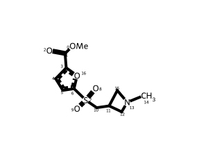 COC(=O)c1ccc(S(=O)(=O)CC2CN(C)C2)o1